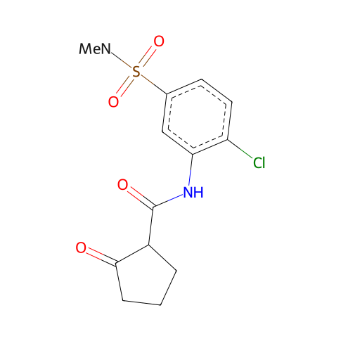 CNS(=O)(=O)c1ccc(Cl)c(NC(=O)C2CCCC2=O)c1